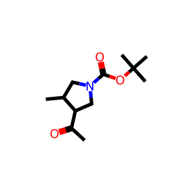 CC(=O)C1CN(C(=O)OC(C)(C)C)CC1C